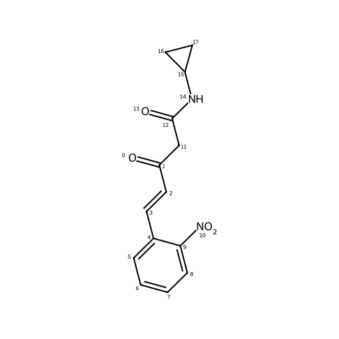 O=C(C=Cc1ccccc1[N+](=O)[O-])CC(=O)NC1CC1